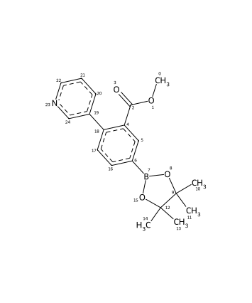 COC(=O)c1cc(B2OC(C)(C)C(C)(C)O2)ccc1-c1cccnc1